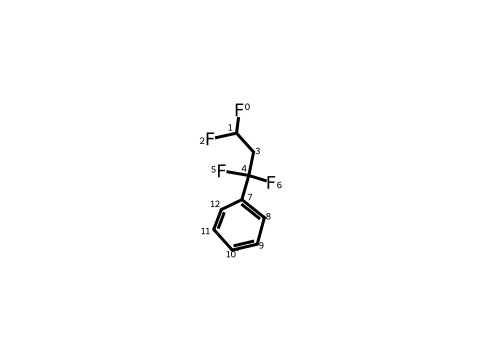 FC(F)CC(F)(F)c1cc[c]cc1